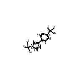 CC(C)(C)c1ccc(-c2nnn(C(C)(C)C)n2)cc1